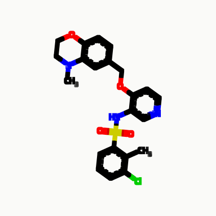 Cc1c(Cl)cccc1S(=O)(=O)Nc1cnccc1OCc1ccc2c(c1)N(C)CCO2